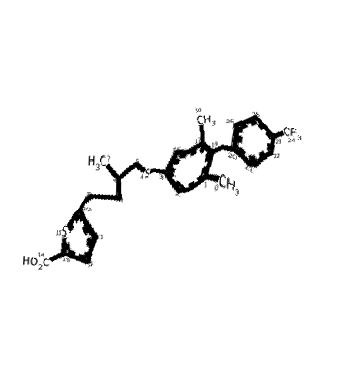 Cc1cc(SCC(C)CCc2ccc(C(=O)O)s2)cc(C)c1-c1ccc(C(F)(F)F)cc1